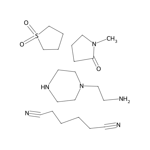 CN1CCCC1=O.N#CCCCCC#N.NCCN1CCNCC1.O=S1(=O)CCCC1